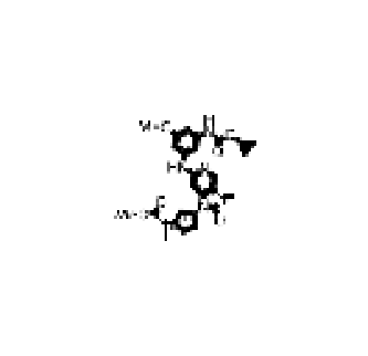 COC(=O)N[C@@H]1CC[C@@H](n2c(=O)n(C)c3cnc(Nc4cc(NC(=O)OC5CC5)cc(OC)c4)cc32)C1